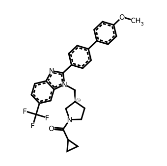 COc1ccc(-c2ccc(-c3nc4ccc(C(F)(F)F)cc4n3C[C@H]3CCN(C(=O)C4CC4)C3)cc2)cc1